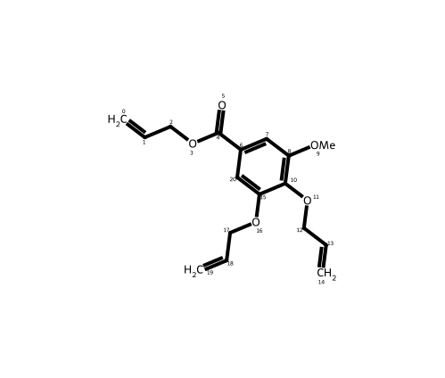 C=CCOC(=O)c1cc(OC)c(OCC=C)c(OCC=C)c1